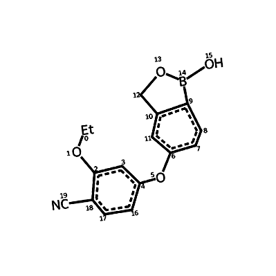 CCOc1cc(Oc2ccc3c(c2)COB3O)ccc1C#N